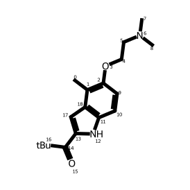 Cc1c(OCCN(C)C)ccc2[nH]c(C(=O)C(C)(C)C)cc12